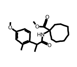 COC(=O)C1(NC(=O)C(C)c2ccc(OC)cc2C)CCCCCCC1